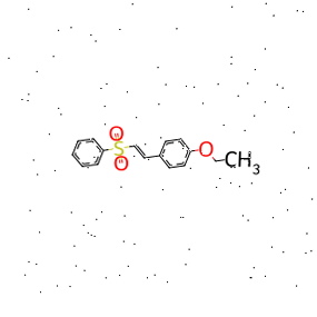 CCOc1ccc(C=CS(=O)(=O)c2ccccc2)cc1